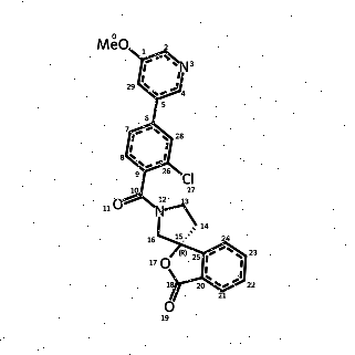 COc1cncc(-c2ccc(C(=O)N3CC[C@@]4(C3)OC(=O)c3ccccc34)c(Cl)c2)c1